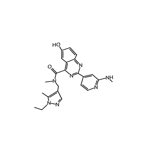 CCn1ncc(CN(C)C(=O)c2nc(-c3ccnc(NC)c3)nc3ccc(O)cc23)c1C